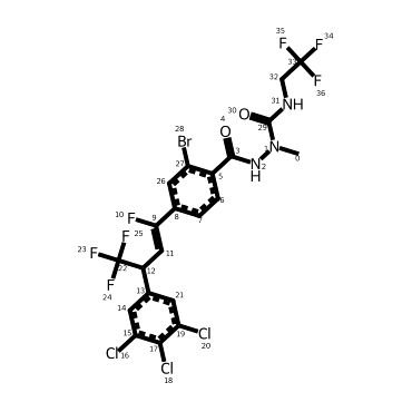 CN(NC(=O)c1ccc(/C(F)=C/C(c2cc(Cl)c(Cl)c(Cl)c2)C(F)(F)F)cc1Br)C(=O)NCC(F)(F)F